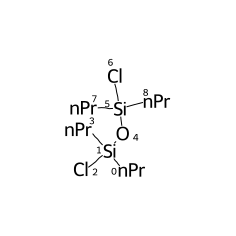 CCC[Si](Cl)(CCC)O[Si](Cl)(CCC)CCC